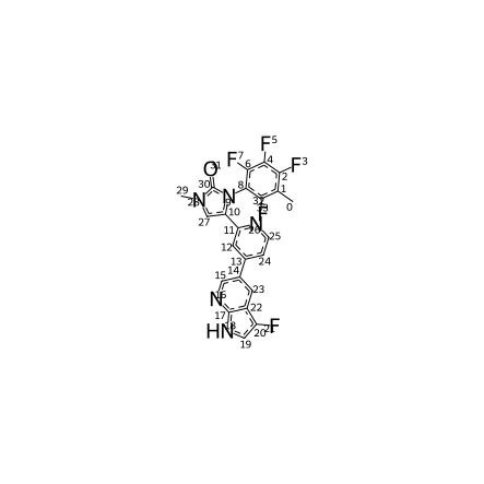 Cc1c(F)c(F)c(F)c(-n2c(-c3cc(-c4cnc5[nH]cc(F)c5c4)ccn3)cn(C)c2=O)c1F